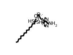 CCCCCCCCCCCCCCC(S)(S)CO[P@](=O)(OC)[C@H](C)Cn1cnc2c(N)ncnc21